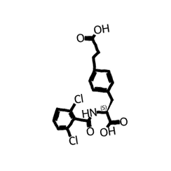 O=C(O)CCc1ccc(C[C@H](NC(=O)c2c(Cl)cccc2Cl)C(=O)O)cc1